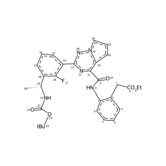 CCOC(=O)Cc1ccccc1NC(=O)c1nc(-c2cccc([C@@H](C)NC(=O)OC(C)(C)C)c2F)nn2cccc12